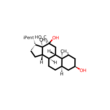 CCC[C@@H](C)[C@H]1CC[C@H]2[C@@H]3CC[C@@H]4C[C@H](O)CC[C@]4(C)[C@H]3C[C@@](O)(C(=O)O)[C@]12C